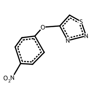 O=[N+]([O-])c1ccc(Oc2csnn2)cc1